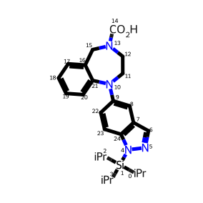 CC(C)[Si](C(C)C)(C(C)C)n1ncc2cc(N3CCN(C(=O)O)Cc4ccccc43)ccc21